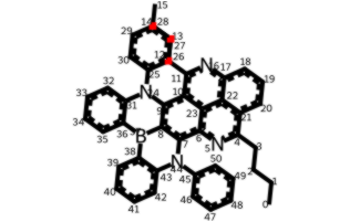 CCCCc1nc2c3c4c(c5c(CCCC)nc6cccc1c6c25)N(c1ccccc1)c1ccccc1B4c1ccccc1N3c1ccccc1